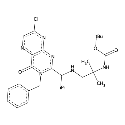 CC(C)C(NCC(C)(C)NC(=O)OC(C)(C)C)c1nc2nc(Cl)cnc2c(=O)n1Cc1ccccc1